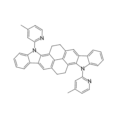 Cc1ccnc(-n2c3ccccc3c3cc4c5c(c32)CCc2cc3c6ccccc6n(-c6cc(C)ccn6)c3c(c2-5)CC4)c1